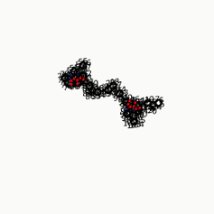 CC1(C)c2ccccc2-c2ccc(-c3ccc(N(c4ccc(-c5ccc(-c6cccc7cc(-c8ccc9c(c8)-c8ccc(-c%10ccc(N(c%11cccc(-c%12ccccc%12)c%11-c%11ccccc%11-c%11ccccc%11)c%11cccc%12ccccc%11%12)cc%10)cc8C9(C)C)ccc67)cc5)cc4)c4cccc(-c5ccccc5)c4-c4ccccc4-c4ccccc4)cc3)cc21